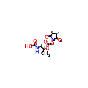 C[C@@H](CNC(=O)O)OC(=O)ON1C(=O)CCC1=O